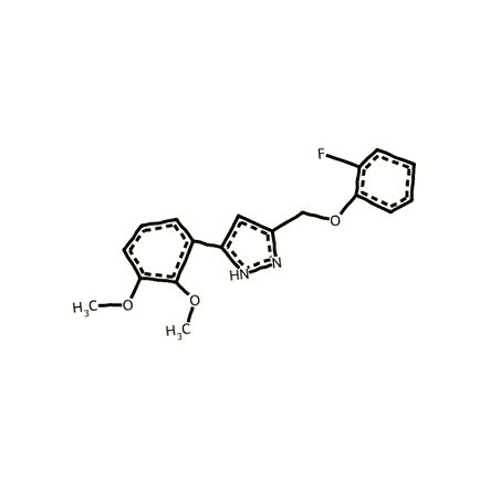 COc1cccc(-c2cc(COc3ccccc3F)n[nH]2)c1OC